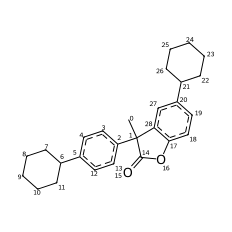 CC1(c2ccc(C3CCCCC3)cc2)C(=O)Oc2ccc(C3CCCCC3)cc21